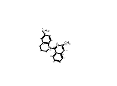 COc1ccc2c(c1)CCCN2c1nc(C)nc2ccccc12